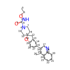 CCONC(=O)N1CCC2(CC1)Cc1cc(-c3cnc4ccccc4c3C)ccc1O2